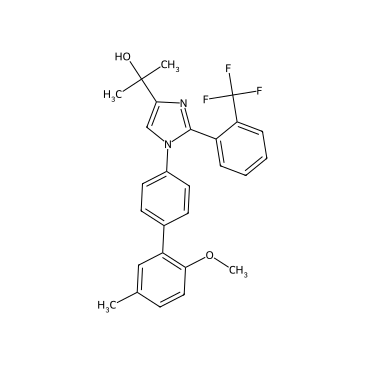 COc1ccc(C)cc1-c1ccc(-n2cc(C(C)(C)O)nc2-c2ccccc2C(F)(F)F)cc1